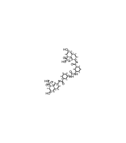 O=C(Nc1cccc(C(=O)N=C2C=CC3=CC(O)=CC(S(=O)(=O)O)C3=C2)c1)Nc1cccc(C(=O)N=C2C=CC3=CC(O)=CC(S(=O)(=O)O)C3=C2)c1